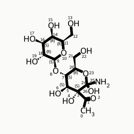 CC(=O)[C@@]1(O)[C@@H](O)[C@H](O[C@@H]2O[C@H](CO)[C@H](O)[C@H](O)[C@H]2O)[C@@H](CO)OC1(N)O